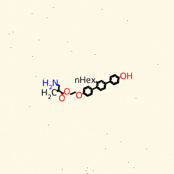 C=C(CN)C(=O)OCCOc1ccc(-c2ccc(-c3ccc(O)cc3)cc2CCCCCC)cc1